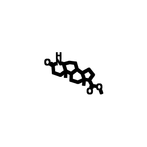 COC(=O)C1CCC2C3CCC4NC(=O)CCC4(C)C3CCC12C